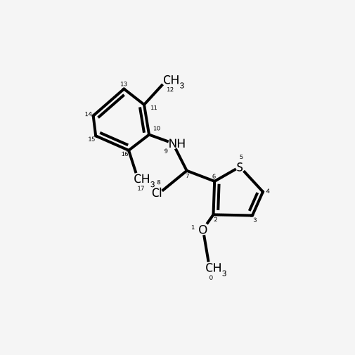 COc1ccsc1C(Cl)Nc1c(C)cccc1C